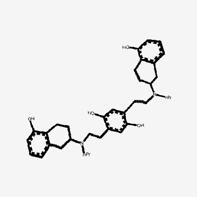 CCCN(CCc1cc(O)c(CCN(CCC)C2CCc3c(O)cccc3C2)cc1O)C1CCc2c(O)cccc2C1